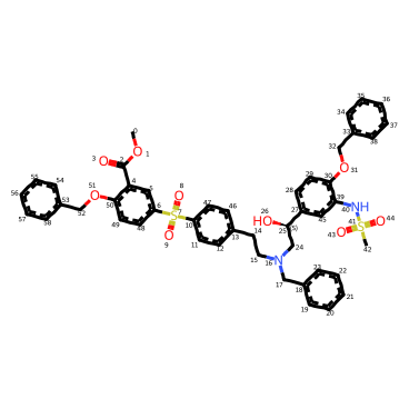 COC(=O)c1cc(S(=O)(=O)c2ccc(CCN(Cc3ccccc3)C[C@@H](O)c3ccc(OCc4ccccc4)c(NS(C)(=O)=O)c3)cc2)ccc1OCc1ccccc1